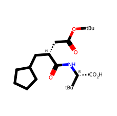 CC(C)(C)OC(=O)C[C@@H](CC1CCCC1)C(=O)N[C@H](C(=O)O)C(C)(C)C